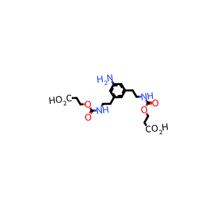 Nc1cc(CCNC(=O)OCCC(=O)O)cc(CCNC(=O)OCCC(=O)O)c1